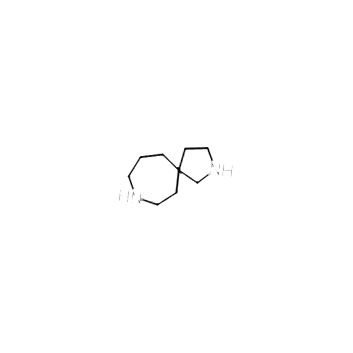 C1CNCCC2(C1)CCNC2